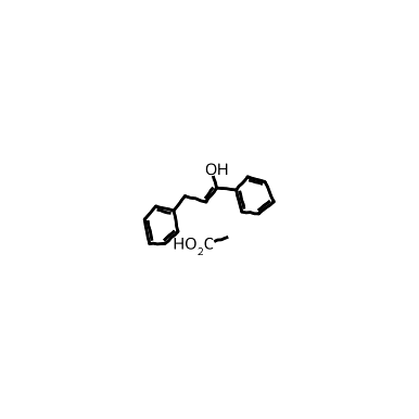 CC(=O)O.OC(=CCc1ccccc1)c1ccccc1